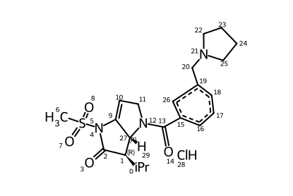 CC(C)[C@H]1C(=O)N(S(C)(=O)=O)C2=CCN(C(=O)c3cccc(CN4CCCC4)c3)[C@@H]21.Cl